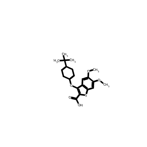 COc1cc2sc(C(=O)O)c(OC3CCC(C(C)(C)C)CC3)c2cc1OC